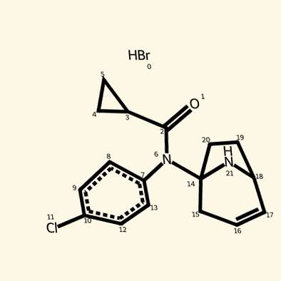 Br.O=C(C1CC1)N(c1ccc(Cl)cc1)C12CC=CC(CC1)N2